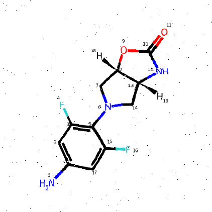 Nc1cc(F)c(N2C[C@@H]3OC(=O)N[C@@H]3C2)c(F)c1